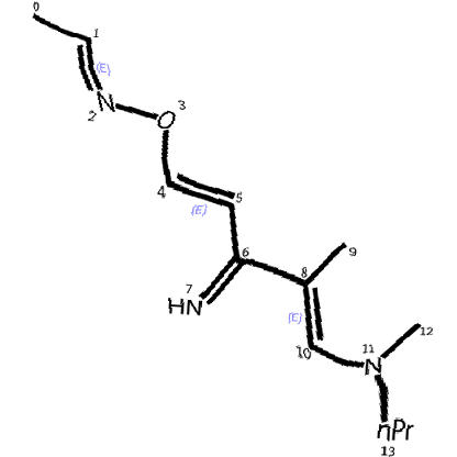 C/C=N/O/C=C/C(=N)/C(C)=C/N(C)CCC